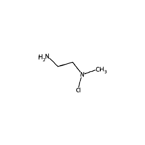 CN(Cl)CCN